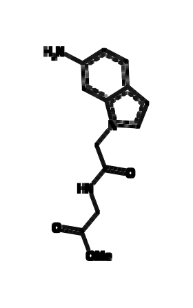 COC(=O)CNC(=O)Cn1ccc2ccc(N)cc21